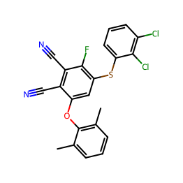 Cc1cccc(C)c1Oc1cc(Sc2cccc(Cl)c2Cl)c(F)c(C#N)c1C#N